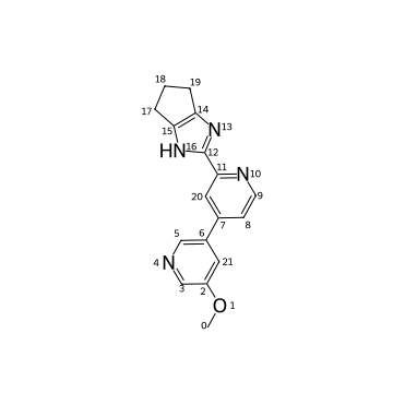 COc1cncc(-c2ccnc(-c3nc4c([nH]3)CCC4)c2)c1